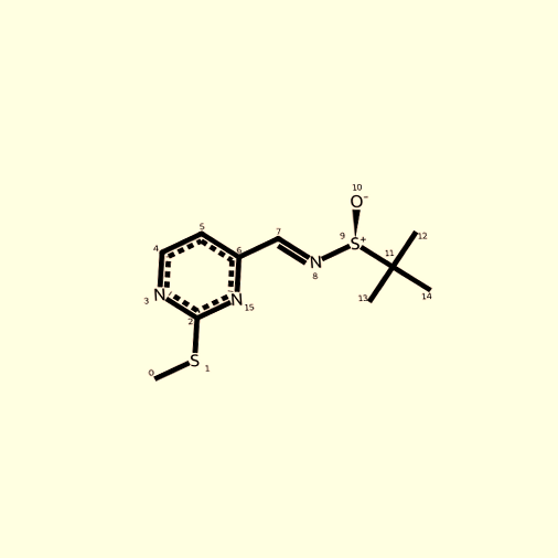 CSc1nccc(/C=N/[S@@+]([O-])C(C)(C)C)n1